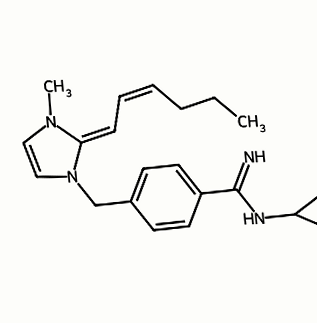 CCC/C=C\C=C1/N(C)C=CN1Cc1ccc(C(=N)NC2CC2)cc1